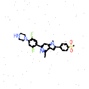 Cc1nc(-c2cc(F)c(N3CCNCC3)cc2F)cc2c1cc(-c1ccc(S(C)(=O)=O)cc1)n2C